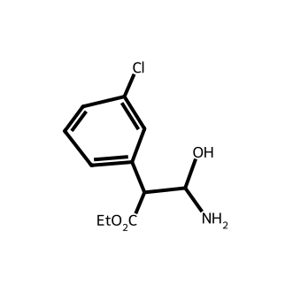 CCOC(=O)C(c1cccc(Cl)c1)C(N)O